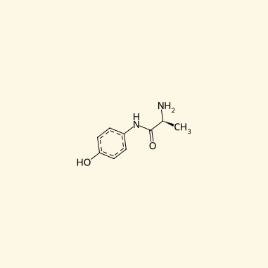 C[C@H](N)C(=O)Nc1ccc(O)cc1